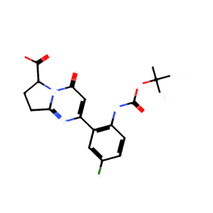 CC(C)(C)OC(=O)Nc1ccc(Cl)cc1-c1cc(=O)n2c(n1)CCC2C(=O)O